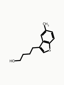 Cc1ccc2scc(CCCCO)c2c1